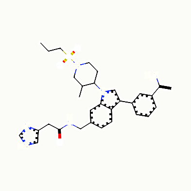 C=C(N)c1cccc(-c2cn(C3CCN(S(=O)(=O)CCC)CC3C)c3cc(CNC(=O)Cc4c[nH]cn4)ccc23)c1